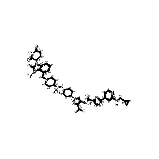 CN(C[C@H]1CC[C@H](n2cc(NC(=O)c3coc(-c4ccnc(NCC5CC5)c4)n3)c(C(F)F)n2)CC1)C1CCN(Cc2cccc3c2n(C)c(=O)n3[C@@H]2CCC(=O)NC2=O)CC1